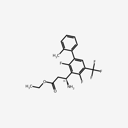 CCOC(=O)C[C@H](N)c1c(F)c(-c2ccccc2C)cc(C(F)(F)F)c1F